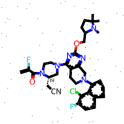 C=C(F)C(=O)N1CCN(c2nc(OCC3CCC(C)(C)N3C)nc3c2CCN(c2cccc4ccc(F)c(Cl)c24)C3)C[C@@H]1CC#N